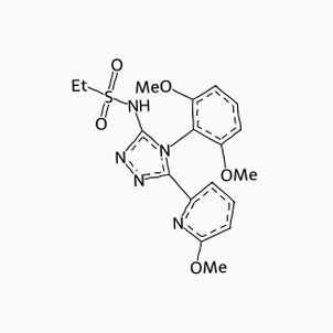 CCS(=O)(=O)Nc1nnc(-c2cccc(OC)n2)n1-c1c(OC)cccc1OC